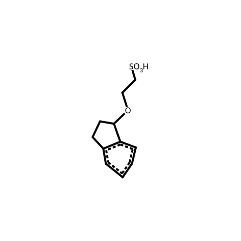 O=S(=O)(O)CCOC1CCc2ccccc21